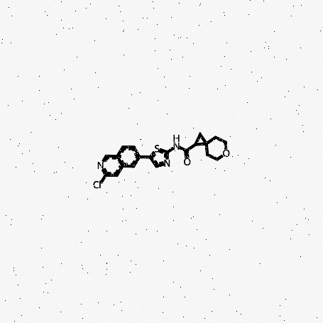 O=C(Nc1ncc(-c2ccc3cnc(Cl)cc3c2)s1)C1CC12CCOCC2